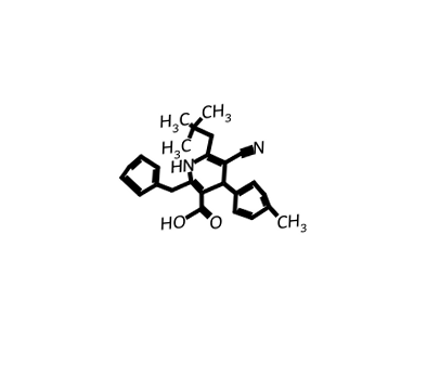 Cc1ccc(C2C(C#N)=C(CC(C)(C)C)NC(Cc3ccccc3)=C2C(=O)O)cc1